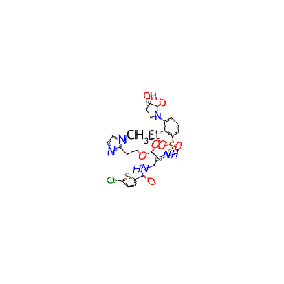 CCc1c(N2CC[C@H](O)C2=O)cccc1S(=O)(=O)N[C@@H](CNC(=O)c1ccc(Cl)s1)C(=O)OCCc1nccn1C